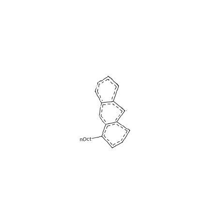 CCCCCCCCc1cccc2[c]c3ccccc3cc12